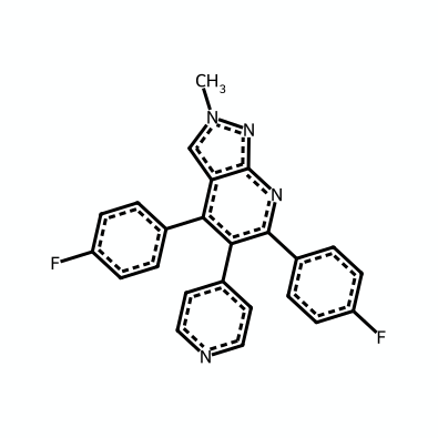 Cn1cc2c(-c3ccc(F)cc3)c(-c3ccncc3)c(-c3ccc(F)cc3)nc2n1